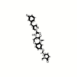 CN1C(=O)[C@@H](NC(=O)n2cc(Cc3cccc(F)c3)cn2)COc2ccc(OC[C@H]3CCC(=O)N3C)cc21